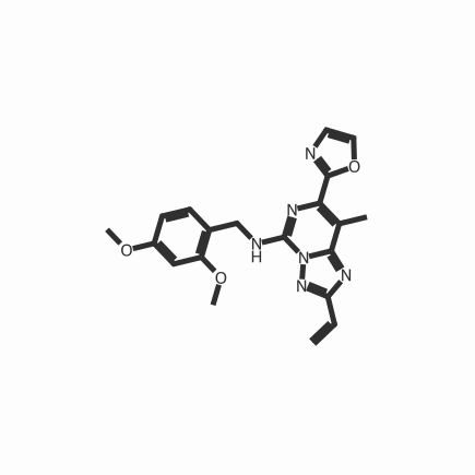 C=Cc1nc2c(C)c(-c3ncco3)nc(NCc3ccc(OC)cc3OC)n2n1